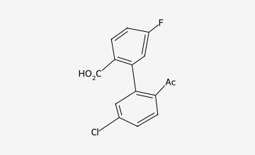 CC(=O)c1ccc(Cl)cc1-c1cc(F)ccc1C(=O)O